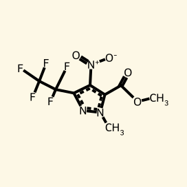 COC(=O)c1c([N+](=O)[O-])c(C(F)(F)C(F)(F)F)nn1C